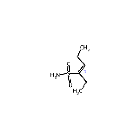 CC/C=C(/CC)S(N)(=O)=O